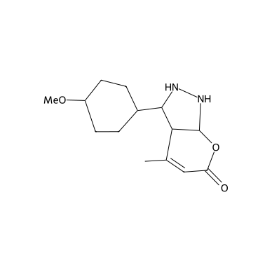 COC1CCC(C2NNC3OC(=O)C=C(C)C32)CC1